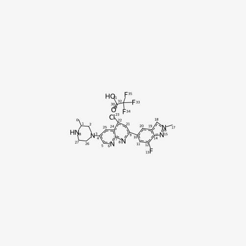 CC1CN(c2cnc3nc(-c4cc(F)c5nn(C)cc5c4)cc(Cl)c3c2)CCN1.O=C(O)C(F)(F)F